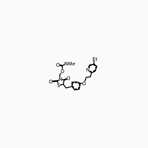 CCc1ccc(CCOc2ccc(CC3SC(=O)N(COC(=O)NC)C3=O)cc2)nc1